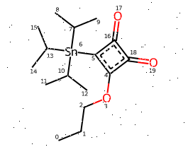 CCCOc1[c]([Sn]([CH](C)C)([CH](C)C)[CH](C)C)c(=O)c1=O